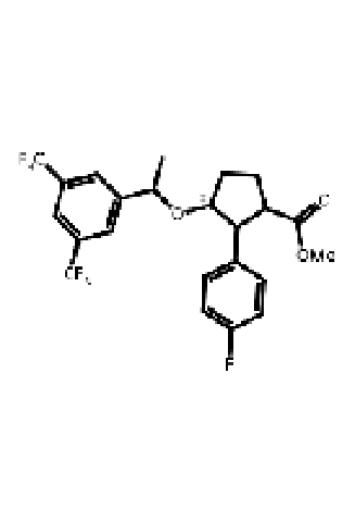 COC(=O)C1CC[C@H](OC(C)c2cc(C(F)(F)F)cc(C(F)(F)F)c2)C1c1ccc(F)cc1